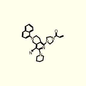 C=CC(=O)N1CCN(c2nc(N3CCCCC3)c(C#N)c3c2CCN(c2cccc4ccccc24)C3)CC1